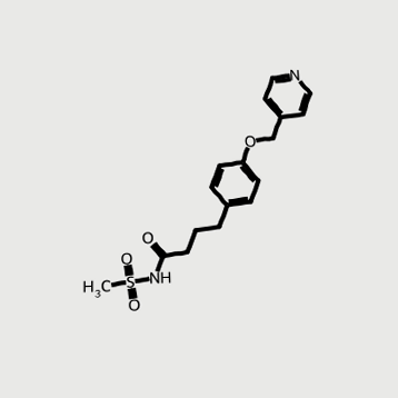 CS(=O)(=O)NC(=O)CCCc1ccc(OCc2ccncc2)cc1